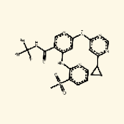 [2H]C([2H])([2H])NC(=O)c1cnc(Nc2cc(C3CC3)ncn2)cc1Nc1ncccc1S(C)(=O)=O